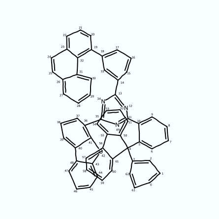 c1ccc(C2(c3ccccc3-c3nc(-c4cccc(-c5cccc6ccc7ccccc7c56)c4)nc(-c4cccc5c4oc4ccccc45)n3)c3ccccc3-c3ccccc32)cc1